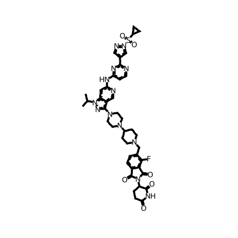 CC(C)n1nc(N2CCN(C3CCN(Cc4ccc5c(c4F)C(=O)N(C4CCC(=O)NC4=O)C5=O)CC3)CC2)c2cnc(Nc3ccnc(-c4cnn(S(=O)(=O)C5CC5)c4)n3)cc21